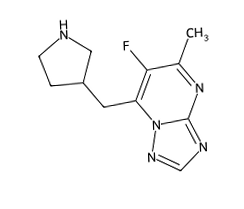 Cc1nc2ncnn2c(CC2CCNC2)c1F